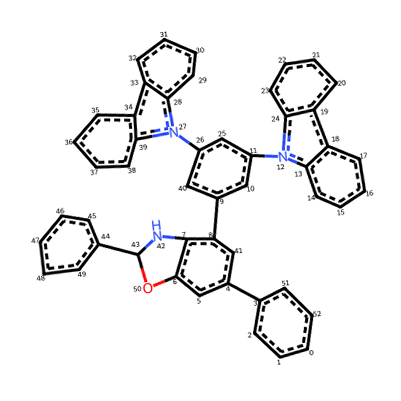 c1ccc(-c2cc3c(c(-c4cc(-n5c6ccccc6c6ccccc65)cc(-n5c6ccccc6c6ccccc65)c4)c2)NC(c2ccccc2)O3)cc1